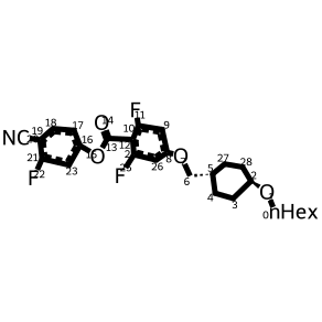 CCCCCCO[C@H]1CC[C@H](COc2cc(F)c(C(=O)Oc3ccc(C#N)c(F)c3)c(F)c2)CC1